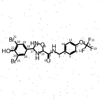 O=C(NCc1ccc(OC(F)(F)F)cc1)C1NC(c2cc(Br)c(O)c(Br)c2)NO1